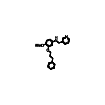 COc1ccc(NCc2cccnc2)cc1OCCCc1ccccc1